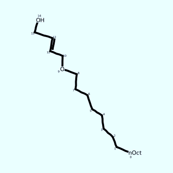 CCCCCCCCCCCCCCCCOCC=CCO